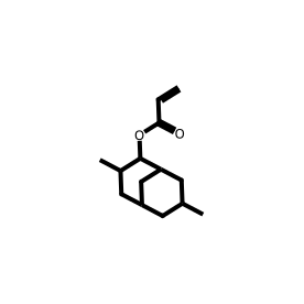 C=CC(=O)OC1C(C)CC2CC(C)CC1C2